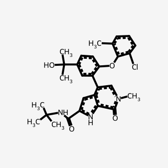 Cc1cccc(Cl)c1Oc1ccc(C(C)(C)O)cc1-c1cn(C)c(=O)c2[nH]c(C(=O)NC(C)(C)C)cc12